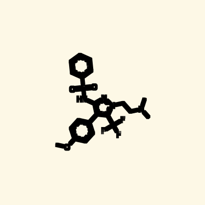 COc1ccc(-c2c(NS(=O)(=O)c3ccccc3)nn(CCN(C)C)c2C(F)(F)F)cc1